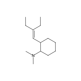 CCC(=CC1CCCCC1N(C)C)CC